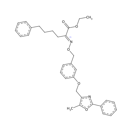 CCOC(=O)/C(CCCCc1ccccc1)=N/OCc1cccc(OCc2nc(-c3ccccc3)oc2C)c1